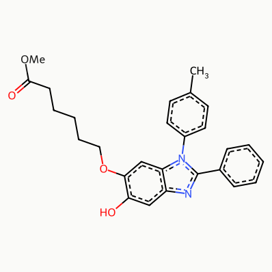 COC(=O)CCCCCOc1cc2c(cc1O)nc(-c1ccccc1)n2-c1ccc(C)cc1